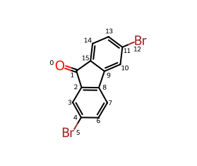 O=C1c2cc(Br)ccc2-c2cc(Br)ccc21